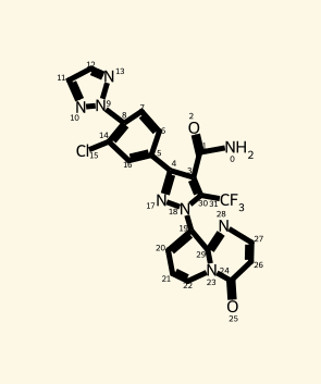 NC(=O)c1c(-c2ccc(-n3nccn3)c(Cl)c2)nn(-c2cccn3c(=O)ccnc23)c1C(F)(F)F